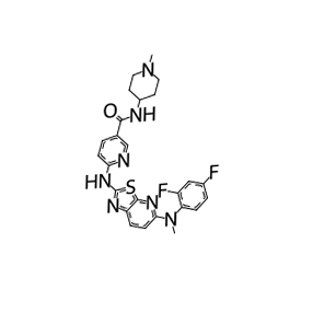 CN1CCC(NC(=O)c2ccc(Nc3nc4ccc(N(C)c5ccc(F)cc5F)nc4s3)nc2)CC1